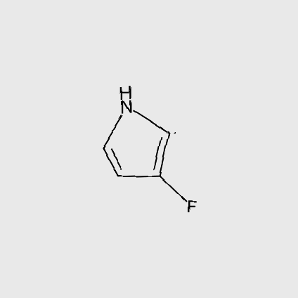 Fc1[c][nH]cc1